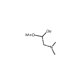 COC(O)CN(C)C